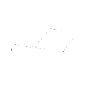 CCCCC/C=C\C/C=C\CCCCCCCC(=O)O[C@H](COC(=O)CCCCCCC/C=C\CCCCCC)COC(=O)CCCCCCCCC/C=C\CCCCCCCC